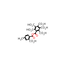 Cc1ccc(C(=O)OC(=O)c2c(C(=O)O)c(C(=O)O)c(C(=O)O)c(C(=O)O)c2C(=O)O)c(C(=O)O)c1